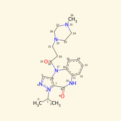 CC(C)n1ncc2c1C(=O)Nc1ccccc1N2C(=O)CCN1CCN(C)CC1